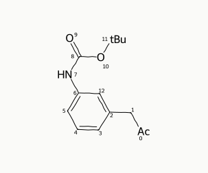 CC(=O)Cc1cccc(NC(=O)OC(C)(C)C)c1